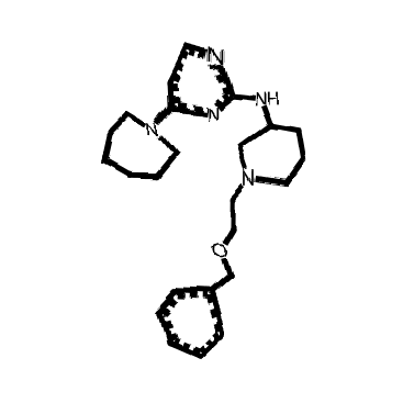 c1ccc(COCCN2CCCC(Nc3nccc(N4CCCCCC4)n3)C2)cc1